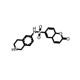 O=C1C=CC2C=C(S(=O)(=O)Nc3ccc4c(c3)CCNC4)C=CC2O1